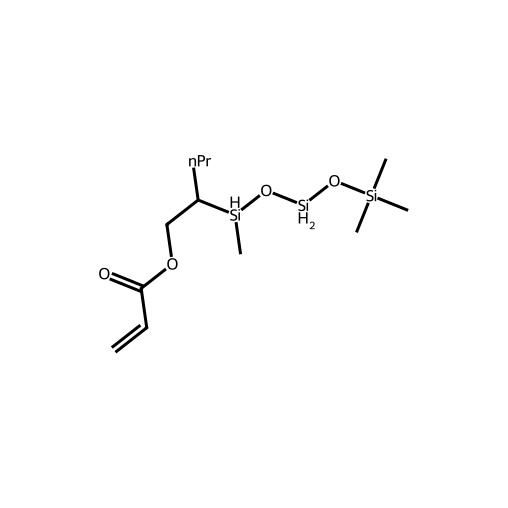 C=CC(=O)OCC(CCC)[SiH](C)O[SiH2]O[Si](C)(C)C